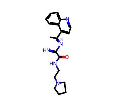 C/C(=N\C(=N)C(=O)NCCN1CCCC1)c1ccnc2ccccc12